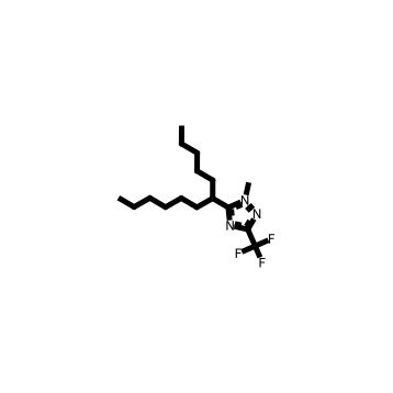 CCCCCCC(CCCCC)c1nc(C(F)(F)F)nn1C